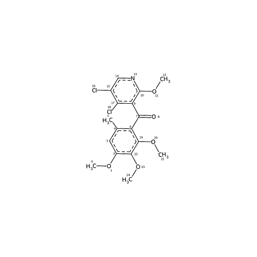 COc1cc(C)c(C(=O)c2c(OC)ncc(Cl)c2Cl)c(OC)c1OC